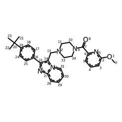 COc1cccc(C(=O)N2CCN(Cc3c(-c4ccc(C(C)(C)C)cc4)nc4ccccn34)CC2)n1